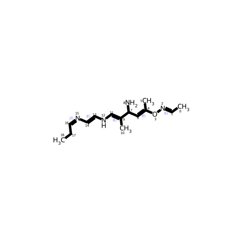 C/C=N/O/C(C)=C/C(N)/C(C)=C/N/C=C/N=C\CC